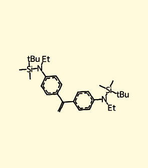 C=C(c1ccc(N(CC)[Si](C)(C)C(C)(C)C)cc1)c1ccc(N(CC)[Si](C)(C)C(C)(C)C)cc1